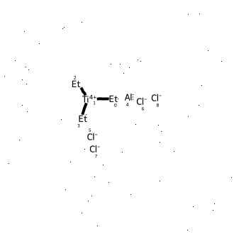 C[CH2][Ti+4]([CH2]C)[CH2]C.[Al].[Cl-].[Cl-].[Cl-].[Cl-]